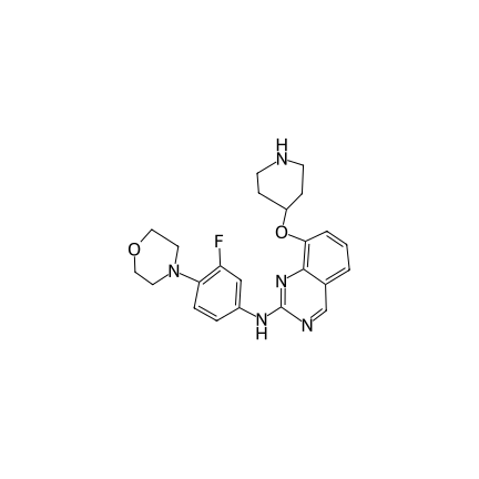 Fc1cc(Nc2ncc3cccc(OC4CCNCC4)c3n2)ccc1N1CCOCC1